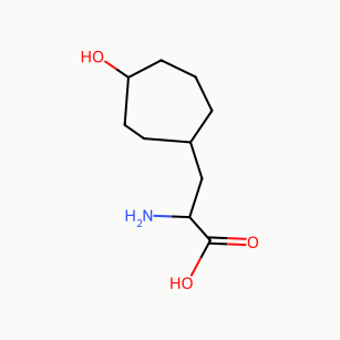 NC(CC1CCCC(O)CC1)C(=O)O